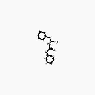 CC(=O)C(Cc1ccccc1)NC(=O)Cc1ccccc1